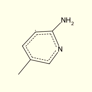 Cc1c[c]c(N)nc1